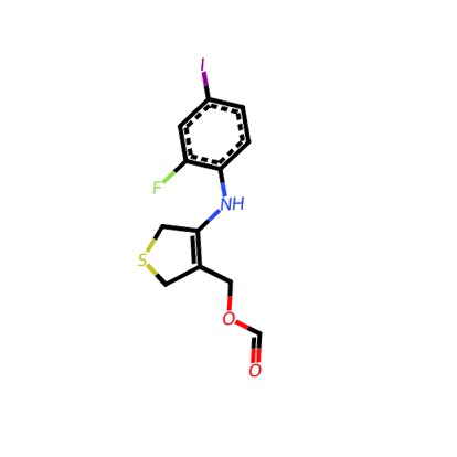 O=COCC1=C(Nc2ccc(I)cc2F)CSC1